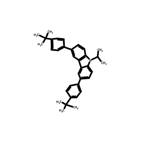 CC(C)n1c2ccc(-c3ccc(C(C)(C)C)cc3)cc2c2cc(-c3ccc(C(C)(C)C)cc3)ccc21